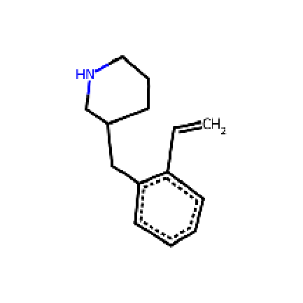 C=Cc1ccccc1CC1CCCNC1